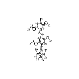 CCOc1cc(C=Cc2cc(OC)c(I)cc2OCC)c(CC)cc1C#C[Si](C(C)C)(C(C)C)C(C)C